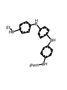 CCBc1ccc(Bc2ccc(Bc3ccc(BC(C)CCC)cc3)cc2)cc1